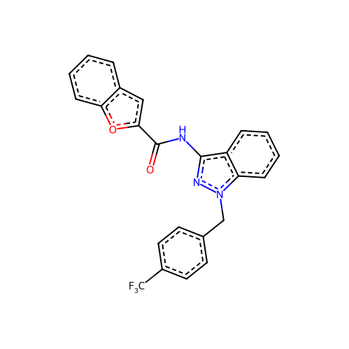 O=C(Nc1nn(Cc2ccc(C(F)(F)F)cc2)c2ccccc12)c1cc2ccccc2o1